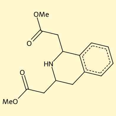 COC(=O)CC1Cc2ccccc2C(CC(=O)OC)N1